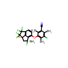 Bc1c(F)c(B)c(Oc2ccc3c4c2[C@@](B)(F)C[C@]4(O)C(F)(F)C3(F)F)c(B)c1C#N